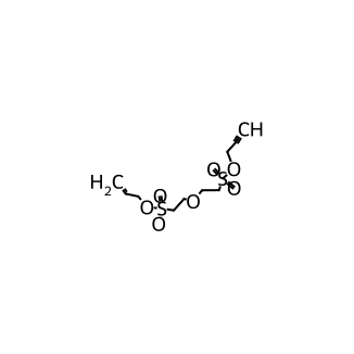 C#CCOS(=O)(=O)CCOCCS(=O)(=O)OCC=C